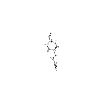 C=Cc1ccc(COC#N)cc1